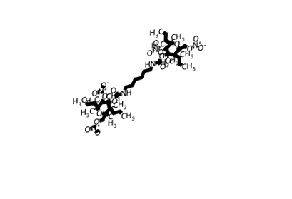 CCC[C@@]1(C)C(C)(CO[N+](=O)[O-])O[C@@](C)(CCC)[C@@](C)(O[N+](=O)[O-])C1(C)OC(=O)NCCCCCCNC(=O)O[C@]1(C)C(C)(O[N+](=O)[O-])[C@@](C)(CCC)OC(C)(CO[N+](=O)[O-])[C@@]1(C)CCC